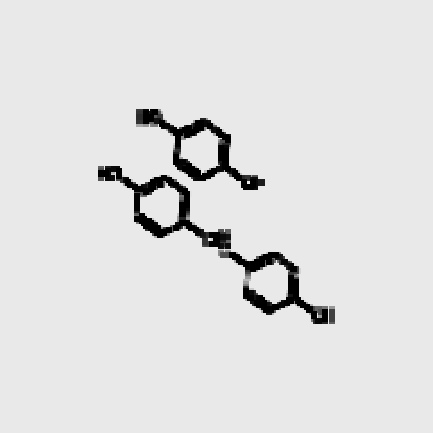 Oc1ccc(O)cc1.Oc1ccc(O)cc1.Oc1ccc(O)cc1